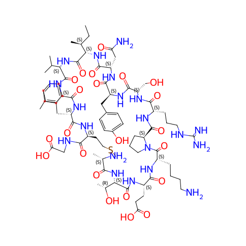 CC[C@H](C)[C@H](NC(=O)[C@H](CC(N)=O)NC(=O)[C@H](Cc1ccc(O)cc1)NC(=O)[C@H](CO)NC(=O)[C@H](CCCNC(=N)N)NC(=O)[C@@H]1CCCN1C(=O)[C@H](CCCCN)NC(=O)[C@H](CCC(=O)O)NC(=O)[C@@H](NC(=O)[C@H](C)N)[C@@H](C)O)C(=O)N[C@H](C(=O)N[C@@H](CC(C)C)C(=O)N[C@@H](Cc1ccccc1)C(=O)N[C@@H](CCSC)C(=O)NCC(=O)O)C(C)C